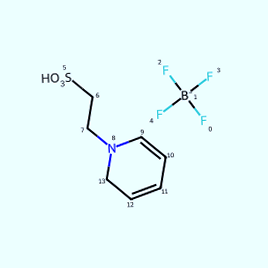 F[B-](F)(F)F.O=S(=O)(O)CCN1C=CC=CC1